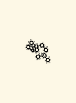 c1ccc(-c2cc(-c3ccccc3)nc(-c3cccc(-c4cccc(-c5nc6c(c7ccccc57)C5(c7ccccc7-c7ccccc75)c5ccccc5-6)c4)c3)n2)cc1